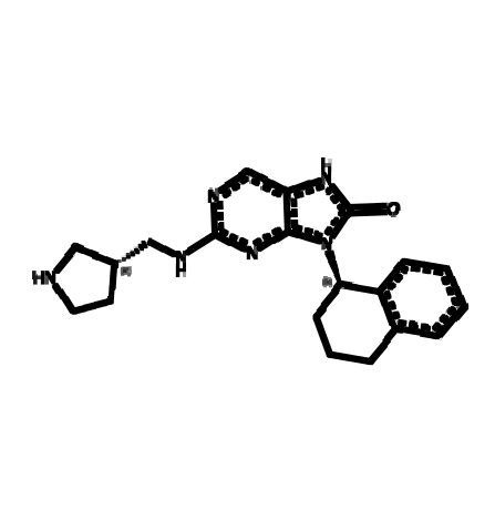 O=c1[nH]c2cnc(NC[C@@H]3CCNC3)nc2n1[C@@H]1CCCc2ccccc21